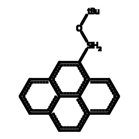 CC(C)(C)O[SiH2]c1cc2cccc3ccc4cccc1c4c32